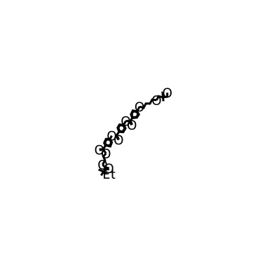 CCC(C)(C)C(=O)OCCOC(=O)c1ccc(OC(=O)c2ccc(OC(=O)c3ccc(OCCCCOCC4(C)COC4)cc3)cc2)cc1